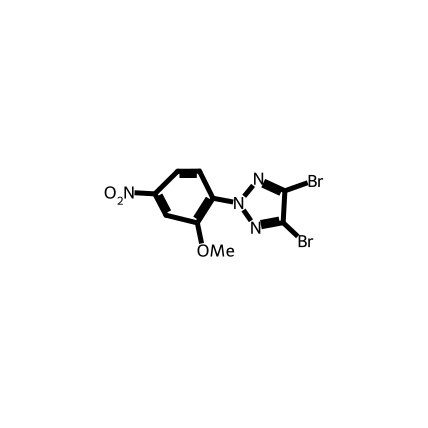 COc1cc([N+](=O)[O-])ccc1-n1nc(Br)c(Br)n1